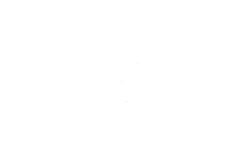 O=C(O)CSc1cnc(NC(=O)N(CC2CCCC2)c2cccc(F)c2F)s1